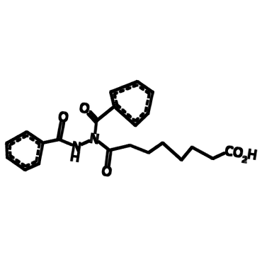 O=C(O)CCCCCCC(=O)N(NC(=O)c1ccccc1)C(=O)c1ccccc1